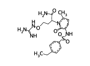 CCc1ccc(S(=O)(=O)Nc2ccc(C)n(C(CCONC(=N)N)C(N)=O)c2=O)cc1